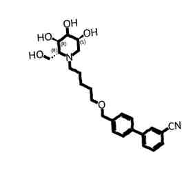 N#Cc1cccc(-c2ccc(COCCCCCN3C[C@H](O)C(O)[C@H](O)[C@H]3CO)cc2)c1